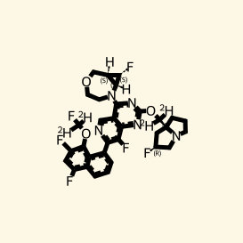 [2H]C([2H])(F)Oc1c(F)cc(F)c2cccc(-c3ncc4c(N5CCOC[C@H]6[C@H](F)[C@H]65)nc(OC([2H])([2H])[C@@]56CCCN5C[C@H](F)C6)nc4c3F)c12